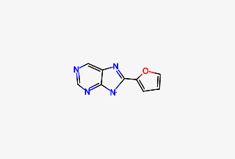 c1coc(C2=Nc3cncnc3[N]2)c1